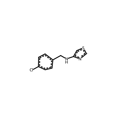 Clc1ccc(CNc2cs[c]n2)cc1